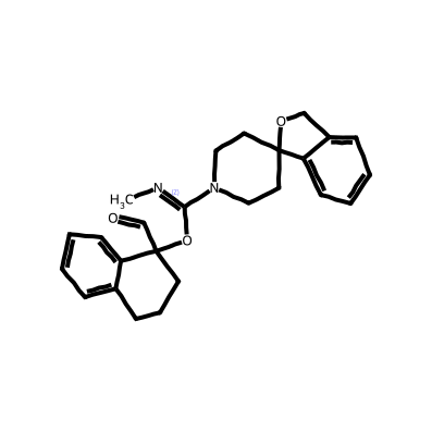 C/N=C(\OC1(C=O)CCCc2ccccc21)N1CCC2(CC1)OCc1ccccc12